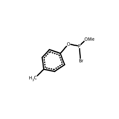 COP(Br)Oc1ccc(C)cc1